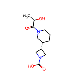 CC(O)C(=O)N1CCC[C@H](C2CN(C(=O)O)C2)C1